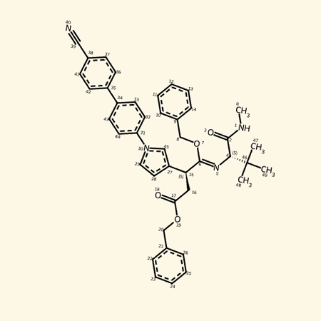 CNC(=O)[C@@H](N=C(OCc1ccccc1)[C@@H](CC(=O)OCc1ccccc1)c1ccn(-c2ccc(-c3ccc(C#N)cc3)cc2)c1)C(C)(C)C